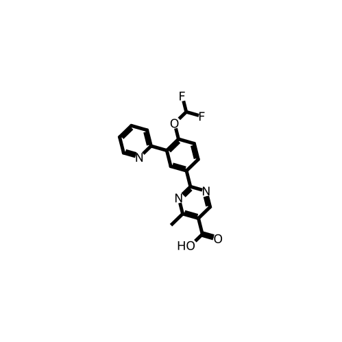 Cc1nc(-c2ccc(OC(F)F)c(-c3ccccn3)c2)ncc1C(=O)O